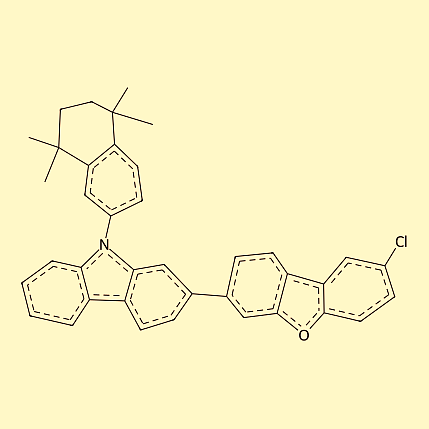 CC1(C)CCC(C)(C)c2cc(-n3c4ccccc4c4ccc(-c5ccc6c(c5)oc5ccc(Cl)cc56)cc43)ccc21